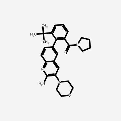 CC(C)(C)c1cccc(C(=O)N2CCCC2)c1-c1ccc2nc(N)c(N3CCOCC3)cc2c1